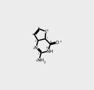 NC1=NC2C=CSC2C(=O)N1